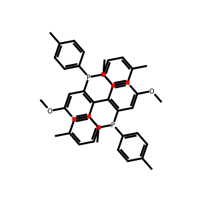 COc1cc(P(c2ccc(C)cc2)c2ccc(C)cc2)c(-c2c(P(c3ccc(C)cc3)c3ccc(C)cc3)cc(OC)nc2OC)c(OC)n1